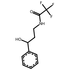 O=C(NCCC(O)c1ccccc1)C(F)(F)F